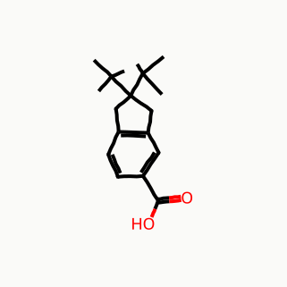 CC(C)(C)C1(C(C)(C)C)Cc2ccc(C(=O)O)cc2C1